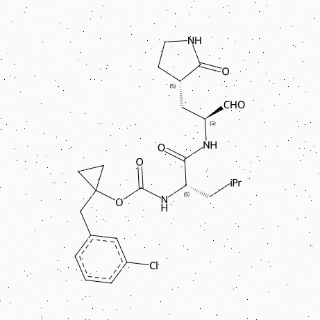 CC(C)C[C@H](NC(=O)OC1(Cc2cccc(Cl)c2)CC1)C(=O)N[C@H](C=O)C[C@@H]1CCNC1=O